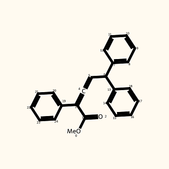 COC(=O)C(=C=CC(c1ccccc1)c1ccccc1)c1ccccc1